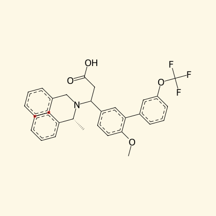 COc1ccc(C(CC(=O)O)N(Cc2ccccc2)[C@H](C)c2ccccc2)cc1-c1cccc(OC(F)(F)F)c1